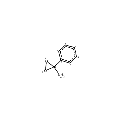 NC1(c2ccccc2)OO1